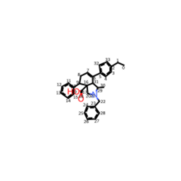 CCc1ccc(C2=CCC(c3ccccc3)C3(C(=O)O)CN(Cc4ccccc4)C(C)C23)cc1